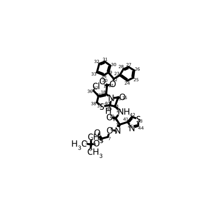 CC(C)(C)OC(=O)CO/N=C(\C(=O)NC1C(=O)N2C(C(=O)OC(c3ccccc3)c3ccccc3)=C(CCl)CS[C@H]12)c1cscn1